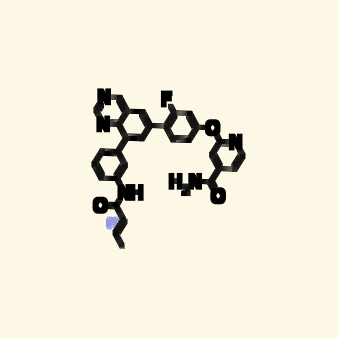 C/C=C/C(=O)Nc1cccc(-c2cc(-c3ccc(Oc4cc(C(N)=O)ccn4)cc3F)cc3cncnc23)c1